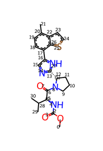 COC(=O)N[C@H](C(=O)N1CCC[C@H]1c1ncc(-c2ccc(C)c3ccsc23)[nH]1)C(C)C